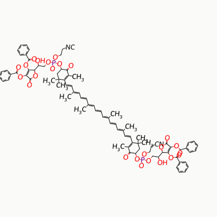 [C-]#[N+]CCOP(=O)(OC[C@H](O)[C@H]1OC(=O)C(OC(=O)c2ccccc2)=C1OC(=O)c1ccccc1)OC1CC(C)(C)C(/C=C/C(C)=C/C=C/C(C)=C/C=C/C=C(C)/C=C/C=C(C)/C=C/C2=C(C)C(=O)C(OP(=O)(OCCC#N)OC[C@H](O)[C@H]3OC(=O)C(OC(=O)c4ccccc4)=C3OC(=O)c3ccccc3)CC2(C)C)=C(C)C1=O